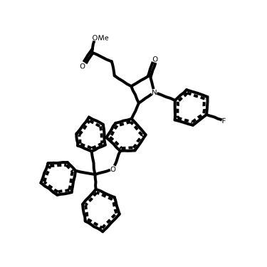 COC(=O)CCC1C(=O)N(c2ccc(F)cc2)C1c1ccc(OC(c2ccccc2)(c2ccccc2)c2ccccc2)cc1